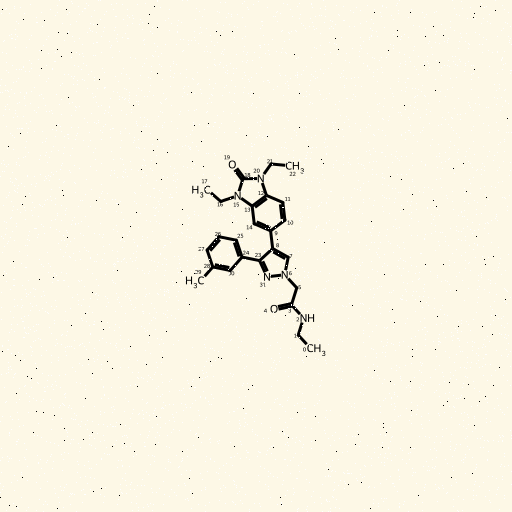 CCNC(=O)Cn1cc(-c2ccc3c(c2)n(CC)c(=O)n3CC)c(-c2cccc(C)c2)n1